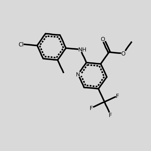 COC(=O)c1cc(C(F)(F)F)cnc1Nc1ccc(Cl)cc1C